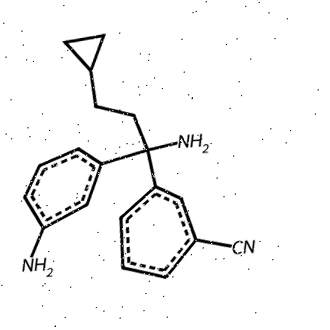 N#Cc1cccc(C(N)(CCC2CC2)c2cccc(N)c2)c1